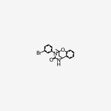 CC12CC(NC(=O)N1c1cccc(Br)c1)c1ccccc1O2